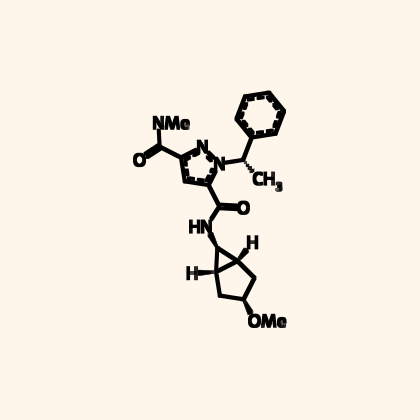 CNC(=O)c1cc(C(=O)N[C@H]2[C@@H]3C[C@@H](OC)C[C@@H]32)n([C@@H](C)c2ccccc2)n1